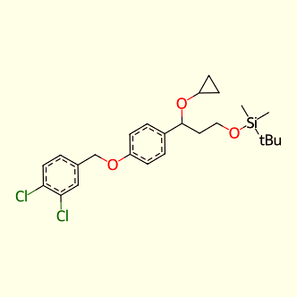 CC(C)(C)[Si](C)(C)OCCC(OC1CC1)c1ccc(OCc2ccc(Cl)c(Cl)c2)cc1